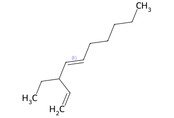 C=CC(/C=C/CCCCC)CC